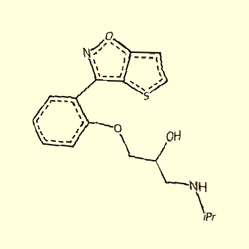 CC(C)NCC(O)COc1ccccc1-c1noc2ccsc12